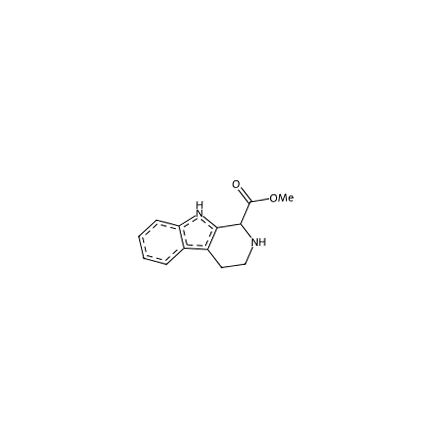 COC(=O)C1NCCc2c1[nH]c1ccccc21